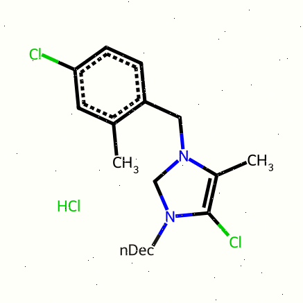 CCCCCCCCCCN1CN(Cc2ccc(Cl)cc2C)C(C)=C1Cl.Cl